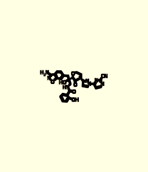 N#Cc1nccc(-n2ccc(N3CCO[C@H](C(O)(CNC(=O)c4ccccc4O)Cc4ccc5c(N)noc5c4)C3=O)n2)n1